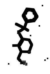 CC1=C(SC(C)(C)c2ccccc2)CCOC1CN